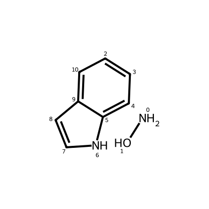 NO.c1ccc2[nH]ccc2c1